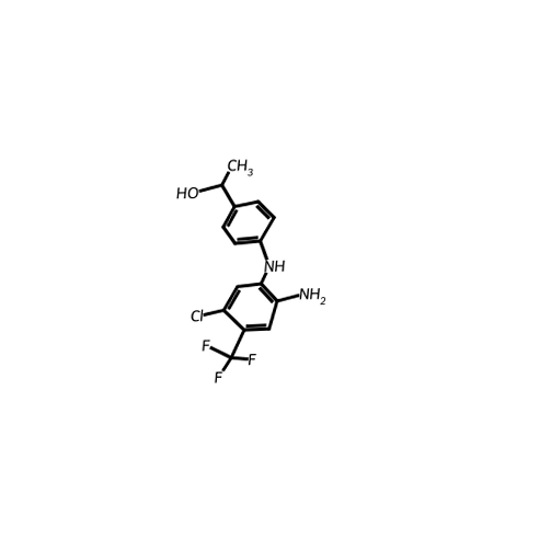 CC(O)c1ccc(Nc2cc(Cl)c(C(F)(F)F)cc2N)cc1